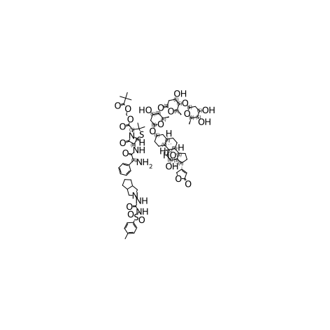 CC(C)(C)C(=O)OCOC(=O)[C@@H]1N2C(=O)[C@@H](NC(=O)[C@H](N)c3ccccc3)[C@H]2SC1(C)C.C[C@H]1O[C@@H](O[C@H]2[C@@H](O)C[C@H](O[C@H]3[C@@H](O)C[C@H](O[C@H]4CC[C@@]5(C)[C@H](CC[C@@H]6[C@@H]5C[C@@H](O)[C@]5(C)[C@@H](C7=CC(=O)OC7)CC[C@]65O)C4)O[C@@H]3C)O[C@@H]2C)C[C@H](O)[C@@H]1O.Cc1ccc(S(=O)(=O)NC(=O)NN2CC3CCCC3C2)cc1